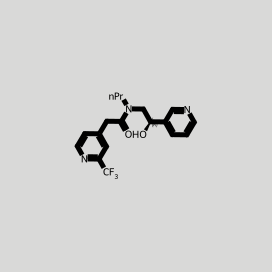 CCCN(C[C@H](O)c1cccnc1)C(=O)Cc1ccnc(C(F)(F)F)c1